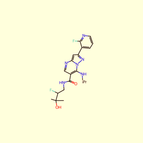 CC(C)Nc1c(C(=O)NCC(F)C(C)(C)O)cnc2cc(-c3cccnc3F)nn12